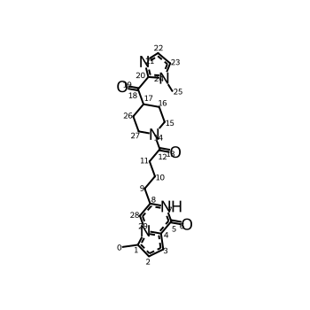 Cc1ccc2c(=O)[nH]c(CCCC(=O)N3CCC(C(=O)c4nccn4C)CC3)cn12